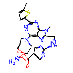 Cc1ccc(-c2nc(N3CCOCC3)c3nc(CN(C)c4ncc(C(=O)ON)cn4)n(C)c3n2)s1